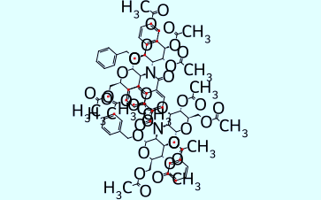 CC(=O)OC[C@H]1O[C@H](OCc2ccccc2)[C@@H](N(C(=O)c2ccc(C(=O)N([C@@H]3[C@@H](OCc4ccccc4)O[C@H](COC(C)=O)[C@@H](OC(C)=O)[C@@H]3OC(C)=O)[C@@H]3[C@@H](OCc4ccccc4)O[C@H](COC(C)=O)[C@@H](OC(C)=O)[C@@H]3OC(C)=O)c3ccccc23)[C@@H]2[C@@H](OCc3ccccc3)O[C@H](COC(C)=O)[C@@H](OC(C)=O)[C@@H]2OC(C)=O)[C@@H](OC(C)=O)[C@@H]1OC(C)=O